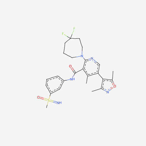 Cc1noc(C)c1-c1cnc(N2CCCC(F)(F)CC2)c(C(=O)Nc2cccc(S(C)(=N)=O)c2)c1C